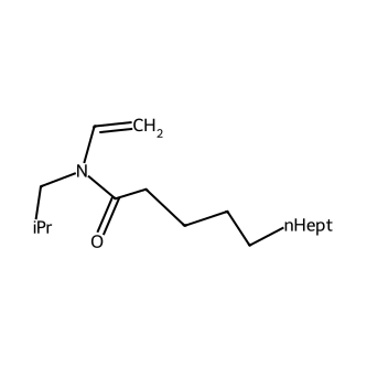 C=CN(CC(C)C)C(=O)CCCCCCCCCCC